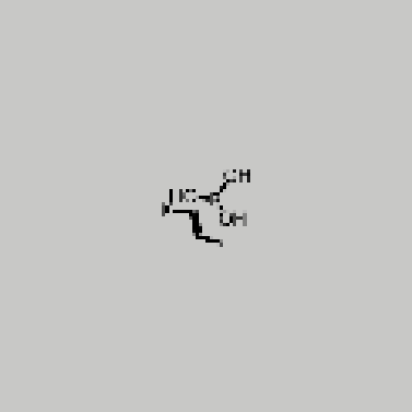 CC=[CH][K].OB(O)O